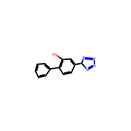 Oc1cc(C2N=NN=N2)ccc1-c1ccccc1